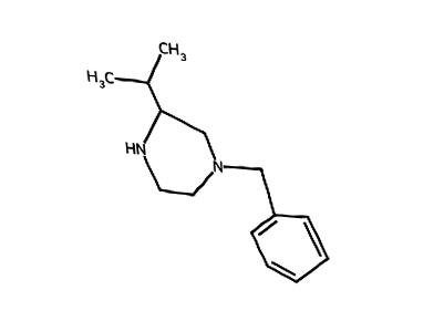 CC(C)C1CN(Cc2ccccc2)CCN1